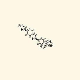 CC(C)SNC1CCC(CNc2ccc(C(C)(C)O)cc2)CC1